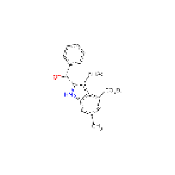 CCOC(=O)c1cc(C)cc2[nH]c(C(=O)c3ccccc3)c(NC(C)=O)c12